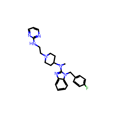 CN(c1nc2ccccc2n1Cc1ccc(F)cc1)C1CCN(CCNc2ncccn2)CC1